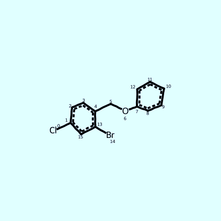 Clc1ccc(COc2ccccc2)c(Br)c1